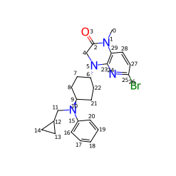 CN1C(=O)CN([C@H]2CC[C@H](N(CC3CC3)c3ccccc3)CC2)c2nc(Br)ccc21